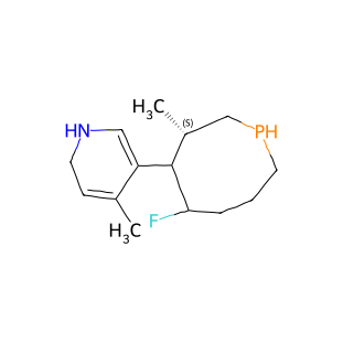 CC1=CCNC=C1C1C(F)CCCPC[C@H]1C